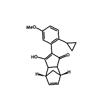 COc1ccc(C2CC2)c(C2=C(O)C3C(C2=O)[C@@H]2C=C[C@H]3C2)c1